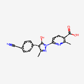 Cc1nc(-n2nc(C)c(-c3ccc(C#N)cc3)c2O)ccc1C(=O)O